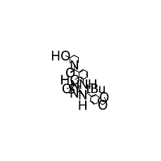 CC(C)(C)C(Nc1n[s+]([O-])nc1Nc1cccc(C(=O)N2CCCC(O)C2)c1O)c1ccc2c(c1)OCO2